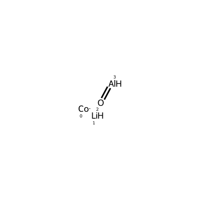 [Co].[LiH].[O]=[AlH]